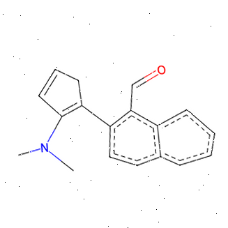 CN(C)C1=C(c2ccc3ccccc3c2C=O)CC=C1